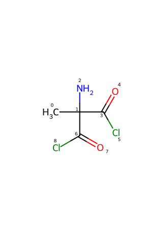 CC(N)(C(=O)Cl)C(=O)Cl